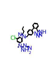 CCCc1nc2c(Cl)cc(N(C)C(N)=NC#N)cc2n1Cc1ccc(-c2ccccc2-c2nnn[nH]2)cc1